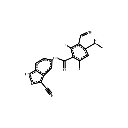 CNc1cc(F)c(C(=O)Nc2ccc3[nH]nc(C#N)c3c2)c(F)c1C=N